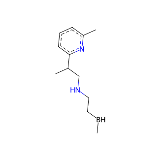 CBCCNCC(C)c1cccc(C)n1